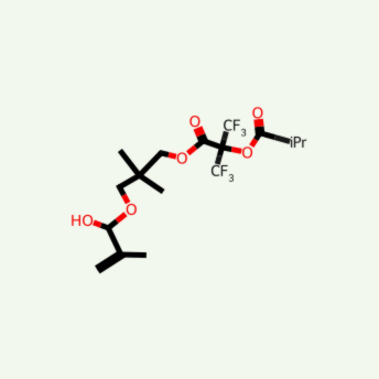 C=C(C)C(O)OCC(C)(C)COC(=O)C(OC(=O)C(C)C)(C(F)(F)F)C(F)(F)F